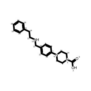 O=C(O)N1CCN(c2ccc(CNCCc3ccccc3)cc2)CC1